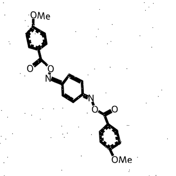 COc1ccc(C(=O)ON=C2C=CC(=NOC(=O)c3ccc(OC)cc3)C=C2)cc1